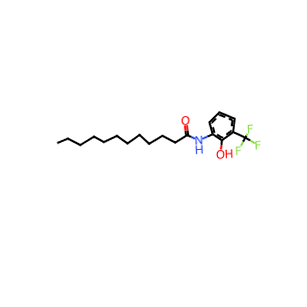 CCCCCCCCCCCC(=O)Nc1cccc(C(F)(F)F)c1O